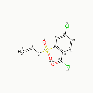 C=CCS(=O)(=O)c1cc(Cl)ccc1C(=O)Cl